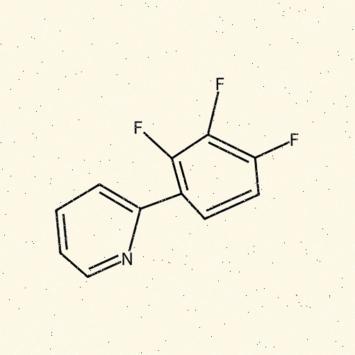 Fc1ccc(-c2ccccn2)c(F)c1F